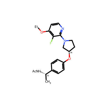 CCOc1ccnc(N2CC[C@@H](Oc3ccc([C@H](C)NC(C)=O)cc3)C2)c1F